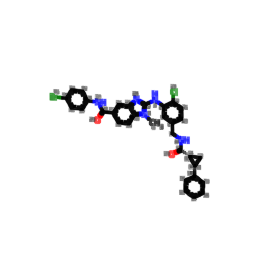 Cn1c(Nc2cc(CNC(=O)[C@@H]3C[C@H]3c3ccccc3)ccc2Cl)nc2cc(C(=O)Nc3ccc(Br)cc3)ccc21